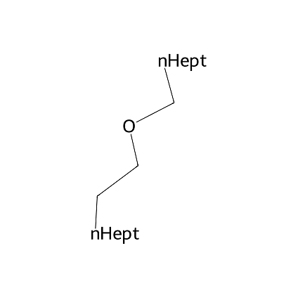 [CH2]CCCCCCCCOCCCCCCCC